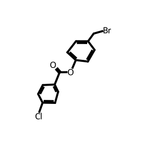 O=C(Oc1ccc(CBr)cc1)c1ccc(Cl)cc1